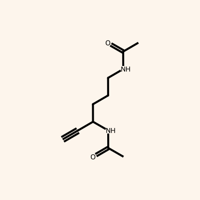 C#CC(CCCNC(C)=O)NC(C)=O